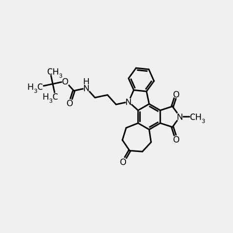 CN1C(=O)c2c3c(c4c(c2C1=O)c1ccccc1n4CCCNC(=O)OC(C)(C)C)CCC(=O)CC3